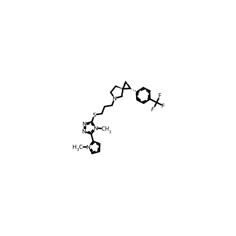 Cn1cccc1-c1nnc(SCCCN2CC[C@]3(C[C@@H]3c3ccc(C(F)(F)F)cc3)C2)n1C